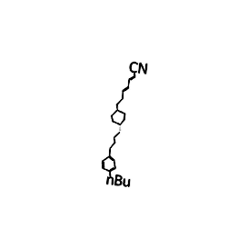 CCCCc1ccc(CCCC[C@H]2CC[C@H](CCC=CC=CC#N)CC2)cc1